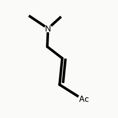 CC(=O)C=CCN(C)C